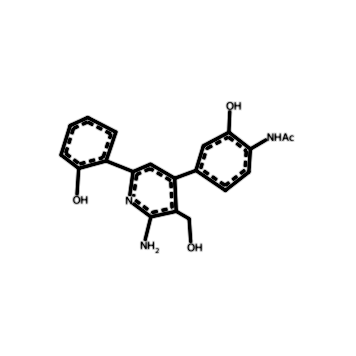 CC(=O)Nc1ccc(-c2cc(-c3ccccc3O)nc(N)c2CO)cc1O